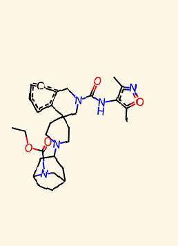 CCOC(=O)N1CC2CCC1CC(N1CCC3(CC1)CN(C(=O)Nc1c(C)noc1C)Cc1ccccc13)C2